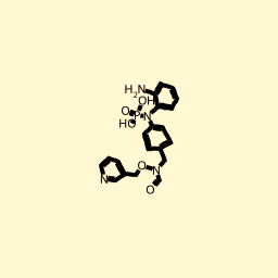 Nc1ccccc1N(c1ccc(CN(C=O)OCc2cccnc2)cc1)P(=O)(O)O